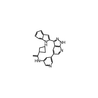 C=C(Nc1cncc(-c2cnc3[nH]nc(-c4cc5ccccc5[nH]4)c3c2)c1)C1CCC1